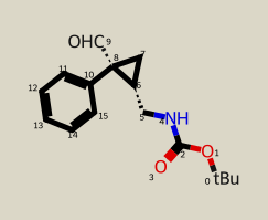 CC(C)(C)OC(=O)NC[C@H]1C[C@]1(C=O)c1ccccc1